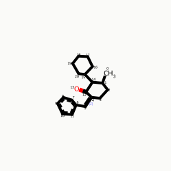 CC1CC/C(=C/c2ccccc2)C(=O)C1C1CCCCC1